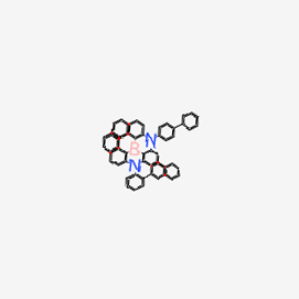 c1ccc(-c2ccc(N3c4cccc(-c5ccccc5)c4B4c5c(-c6ccccc6)cccc5N(c5ccccc5-c5ccccc5)c5cc(-c6ccccc6)cc3c54)cc2)cc1